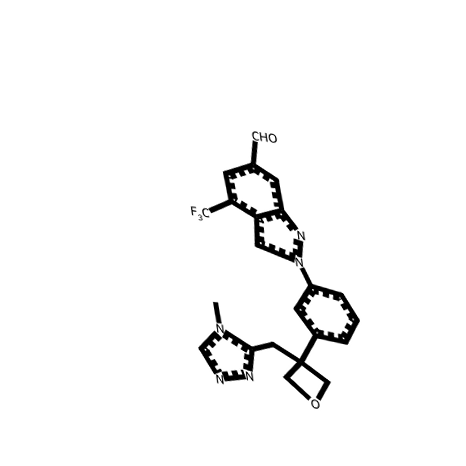 Cn1cnnc1CC1(c2cccc(-n3cc4c(C(F)(F)F)cc(C=O)cc4n3)c2)COC1